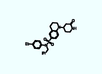 CCc1ccc(N(CC(C)C)S(=O)(=O)c2ccc3c(c2)CCCN3C2CCNC(=O)C2)cc1